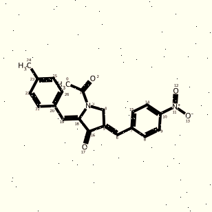 CC(=O)N1C/C(=C\c2ccc([N+](=O)[O-])cc2)C(=O)/C1=C/c1ccc(C)cc1